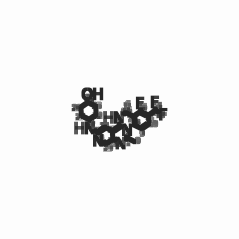 Cc1nc(N[C@H](C)c2cccc(C(F)F)c2F)c2cc(N[C@H]3CC[C@H](O)CC3)ncc2n1